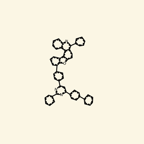 c1ccc(-c2ccc(-c3cc(-c4ccc(-c5cccc6c5oc5ccc7c(-c8ccccc8)nc8ccccc8c7c56)cc4)nc(-c4ccccc4)n3)cc2)cc1